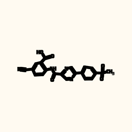 CS(=O)(=O)c1ccc(-c2cnc(C(=O)Nc3ccc(C#N)cc3C(=O)O)cn2)cc1